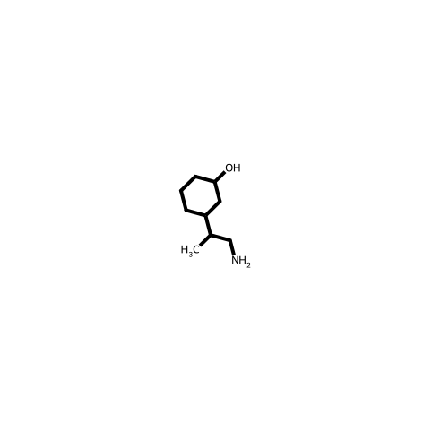 CC(CN)C1CCCC(O)C1